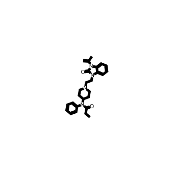 C=C(C)n1c(=O)n(CCN2CCC(N(C(=O)CC)c3ccccc3)CC2)c2ccccc21